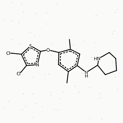 Cc1cc(Oc2nc(Cl)c(Cl)s2)c(C)cc1NC1CCCCN1